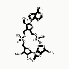 C=C[C@@H]1C(COP(=O)(S)OCC2O[C@@H](n3c(=O)sc4c(N)ncnc43)[C@H](C)C2OC)C(COP(=O)(O)S)O[C@H]1n1cnc2c(N)ncnc21